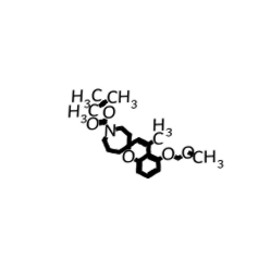 COCOc1cccc2c1C(C)=CC1(CCCN(C(=O)OC(C)(C)C)CC1)O2